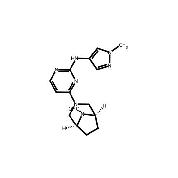 Cn1cc(Nc2nccc(N3C[C@H]4CC[C@@H](C3)N4C=O)n2)cn1